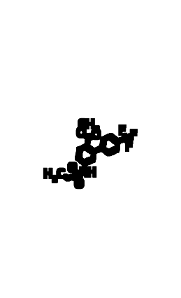 CCS(=O)(=O)Nc1ccc(C(=O)OC)c(-c2ccc(C(F)(F)F)cc2)c1